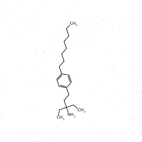 CCCCCCCCc1ccc(CCC(N)(CC)CC)cc1